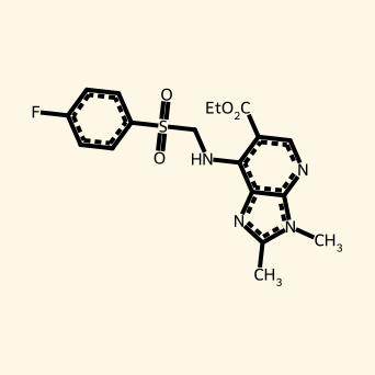 CCOC(=O)c1cnc2c(nc(C)n2C)c1NCS(=O)(=O)c1ccc(F)cc1